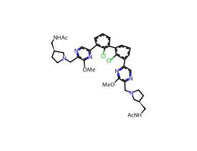 COc1nc(-c2cccc(-c3cccc(-c4cnc(CN5CC[C@@H](CNC(C)=O)C5)c(OC)n4)c3Cl)c2Cl)cnc1CN1CC[C@@H](CNC(C)=O)C1